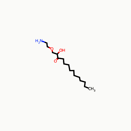 CCCCCCCCCCCC(=O)C(O)COCCN